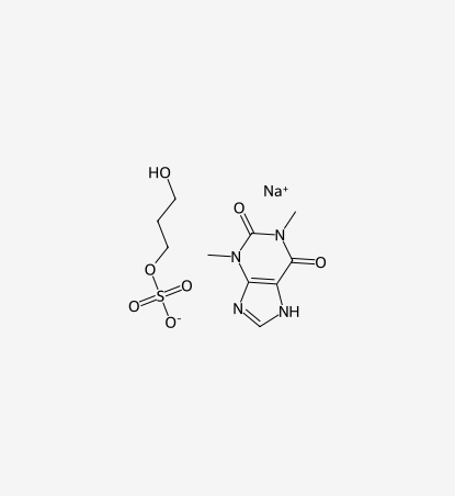 Cn1c(=O)c2[nH]cnc2n(C)c1=O.O=S(=O)([O-])OCCCO.[Na+]